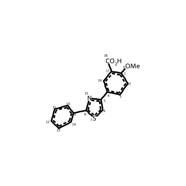 COc1ccc(-c2csc(-c3ccccc3)n2)cc1C(=O)O